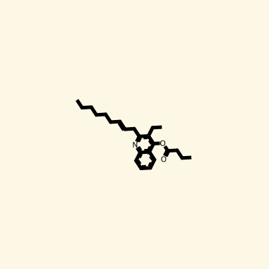 CCCCCCC=CCc1nc2ccccc2c(OC(=O)CCC)c1CC